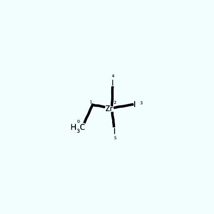 C[CH2][Zr]([I])([I])[I]